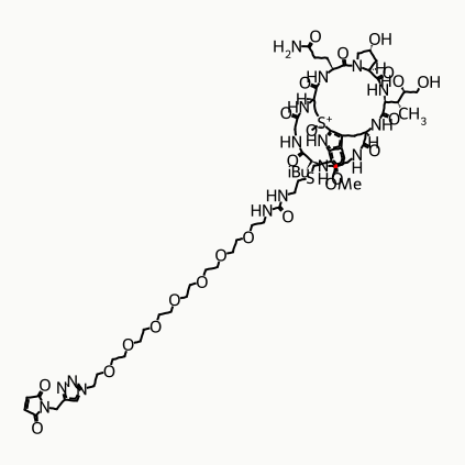 CC[C@H](C)[C@@H]1NC(=O)CNC(=O)[C@@H]2Cc3c([nH]c4c(CSCCNC(=O)NCCOCCOCCOCCOCCOCCOCCOCCn5cc(CN6C(=O)C=CC6=O)nn5)c(OC)ccc34)[S+]([O-])C[C@H](NC(=O)CNC1=O)C(=O)N[C@@H](CCC(N)=O)C(=O)N1C[C@H](O)C[C@H]1C(=O)N[C@@H]([C@@H](C)[C@@H](O)CO)C(=O)N2